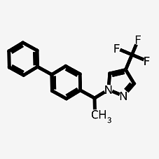 CC(c1ccc(-c2ccccc2)cc1)n1cc(C(F)(F)F)cn1